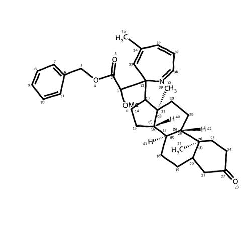 COC(C(=O)OCc1ccccc1)C1(C2CC[C@H]3[C@@H]4CCC5CC(=O)CC[C@]5(C)[C@H]4CC[C@]23C)C=C(C)C=CC=N1